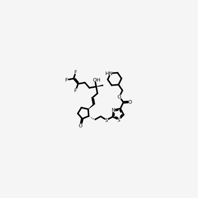 C[C@@](O)(C/C=C/[C@@H]1CCC(=O)[C@H]1CCSc1nc(C(=O)OCC2CCNCC2)cs1)CCC(F)=C(F)F